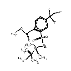 COC(=O)c1ccc(C(F)(F)F)cc1S(=O)(=O)N[Si](C)(C)C(C)(C)C